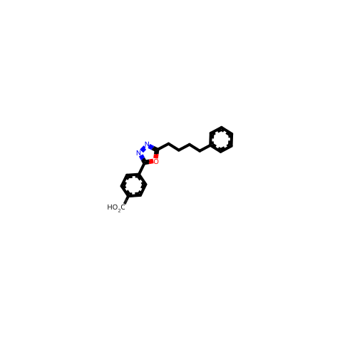 O=C(O)c1ccc(-c2nnc(CCCCc3ccccc3)o2)cc1